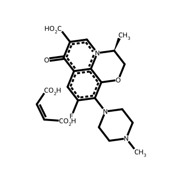 C[C@H]1COc2c(N3CCN(C)CC3)c(F)cc3c(=O)c(C(=O)O)cn1c23.O=C(O)/C=C\C(=O)O